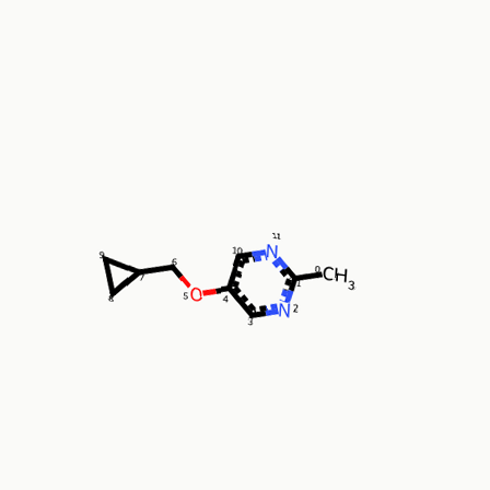 Cc1ncc(OCC2CC2)cn1